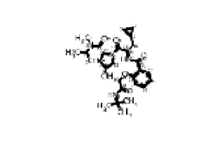 CC(C)N(C)C(=O)[C@H]1C[C@H](O)CN1C(=O)[C@@H](CC1CC1)NC(=O)c1ccccc1OCC(=O)NC(C)(C)C